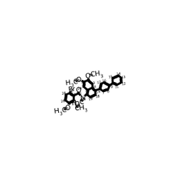 COc1cc2c(-c3ccc(-c4ccccc4)cc3)ccc(N(C)C(=O)c3c(Br)ccc(OC)c3OC)c2cc1OC